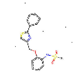 O=S(=O)(Nc1ccccc1OCc1csc(-c2ccccc2)n1)C(F)(F)F